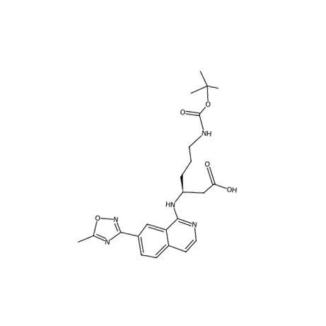 Cc1nc(-c2ccc3ccnc(N[C@@H](CCCNC(=O)OC(C)(C)C)CC(=O)O)c3c2)no1